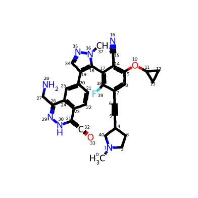 CN1CCC(C#Cc2cc(OC3CC3)c(C#N)c(-c3c(-c4ccc5c(c4)C(CN)=NNC5=C=O)cnn3C)c2F)C1